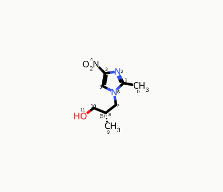 Cc1nc([N+](=O)[O-])cn1C[C@H](C)CO